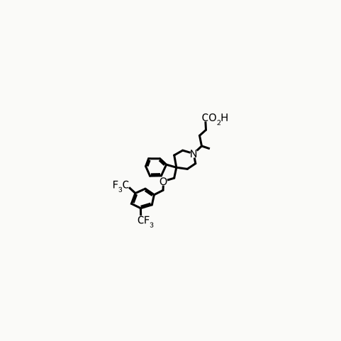 CC(CCC(=O)O)N1CCC(COCc2cc(C(F)(F)F)cc(C(F)(F)F)c2)(c2ccccc2)CC1